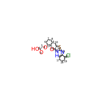 O=C(O)COc1cccc(C=C2SC(=Nc3ccccc3Cl)NC2=O)c1